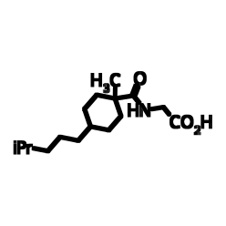 CC(C)CCCC1CCC(C)(C(=O)NCC(=O)O)CC1